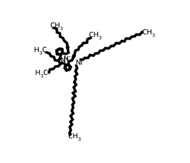 CCCCCCCCCC#CCCc1ccccc1C1=C(CCCCCC)C(CCCCCC)=C(c2ccccc2CCC#CCCCCCCCCC)[N+]1=[N-].CCCCCCCCCCCCCCCCCCCCCCCCC[CH2][Ni][CH2]CCCCCCCCCCCCCCCCCCCCCCCCC